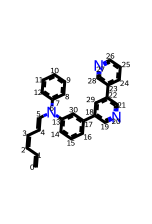 C=C/C=C\C=C\N(c1ccccc1)c1cccc(-c2cncc(-c3cccnc3)c2)c1